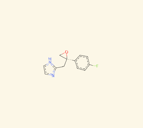 Fc1ccc(C2(Cc3ncc[nH]3)CO2)cc1